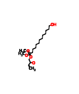 C=CC(=O)CO[Si](CCCCCCCCCCCCO)(OC)OC